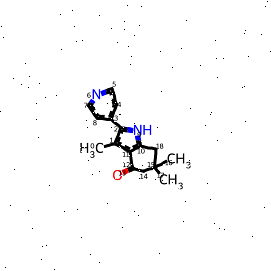 Cc1c(-c2ccncc2)[nH]c2c1C(=O)CC(C)(C)C2